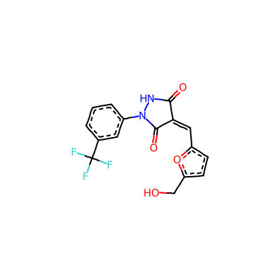 O=C1NN(c2cccc(C(F)(F)F)c2)C(=O)C1=Cc1ccc(CO)o1